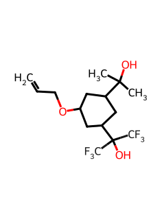 C=CCOC1CC(C(C)(C)O)CC(C(O)(C(F)(F)F)C(F)(F)F)C1